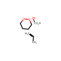 C1CCOOC1.C=CC.O=C(O)O